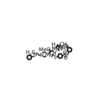 COc1cccc(CS(=O)(=O)c2ccc(Sc3nc(Nc4cc(C)[nH]n4)c(OC)c(N4CCN(CCN(C)Cc5ccccc5)CC4)n3)cc2)c1